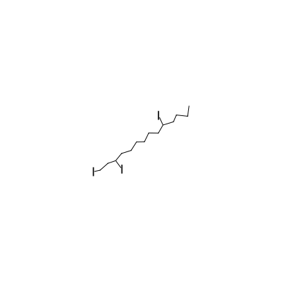 CCCCC(I)CCCCCCC(I)CCI